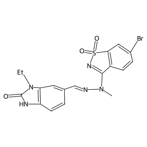 CCn1c(=O)[nH]c2ccc(/C=N/N(C)C3=NS(=O)(=O)c4cc(Br)ccc43)cc21